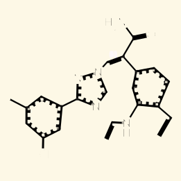 C=CNc1cc(/C(=C\n2cnc(-c3cc(C)cc(C(F)(F)F)c3)n2)C(N)=O)ccc1C=C